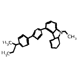 CCC(C)c1ccc(-c2ccc(-c3cccc4c3C3CCCCC3N4CC)cc2)cc1